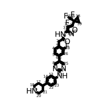 O=C(Cc1ccc(-c2cnc(Nc3ccc(C4CCNCC4)cc3)nc2)cc1F)Nc1cc(C2(C(F)(F)F)CC2)on1